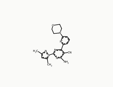 Cc1cc(C)n(-c2nc(N)c(C#N)c(-c3cccc(N4CCOCC4)n3)n2)n1